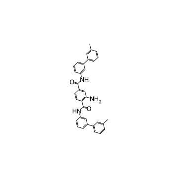 Cc1cccc(-c2cccc(NC(=O)c3ccc(C(=O)Nc4cccc(-c5cccc(C)c5)c4)c(N)c3)c2)c1